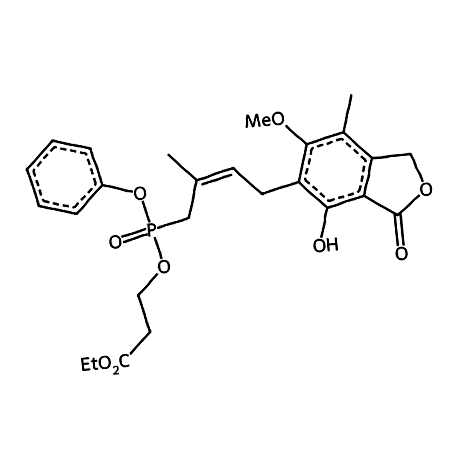 CCOC(=O)CCOP(=O)(CC(C)=CCc1c(O)c2c(c(C)c1OC)COC2=O)Oc1ccccc1